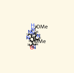 COCCNc1nc2cnc3cc(-c4c(C)noc4C)c(OC)cc3c2n1[C@H](C)c1ccccn1